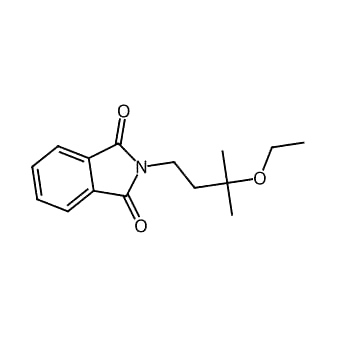 CCOC(C)(C)CCN1C(=O)c2ccccc2C1=O